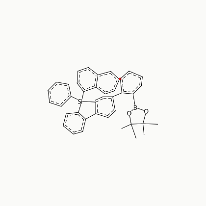 CC1(C)OB(c2ccccc2-c2ccc3c(c2)[Si](c2ccccc2)(c2cccc4ccccc24)c2ccccc2-3)OC1(C)C